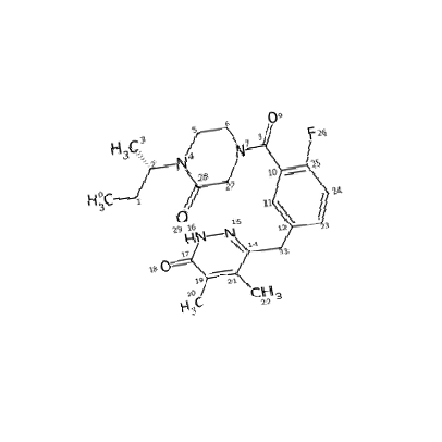 CC[C@H](C)N1CCN(C(=O)c2cc(Cc3n[nH]c(=O)c(C)c3C)ccc2F)CC1=O